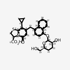 O=C(O)C1CSc2c(C3CC3)c(Cc3ccc(OC4O[C@H](CO)CC[C@@H]4O)c4ccccc34)cc(=O)n21